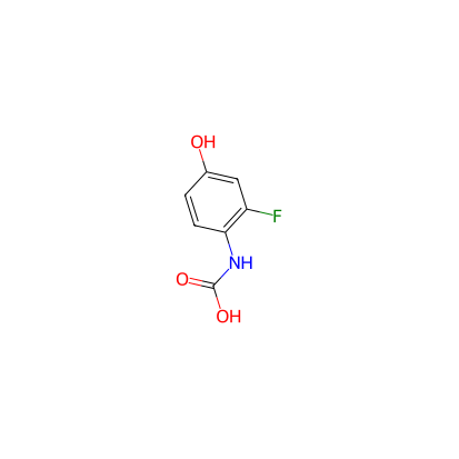 O=C(O)Nc1ccc(O)cc1F